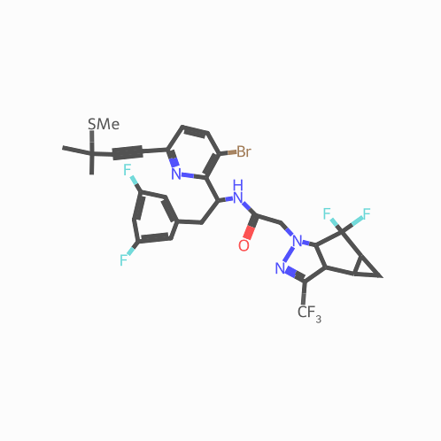 CSC(C)(C)C#Cc1ccc(Br)c(C(Cc2cc(F)cc(F)c2)NC(=O)CN2N=C(C(F)(F)F)C3C4CC4C(F)(F)C32)n1